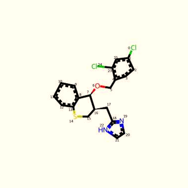 Clc1ccc(CO[C@@H]2c3ccccc3SC[C@@H]2Cc2ncc[nH]2)c(Cl)c1